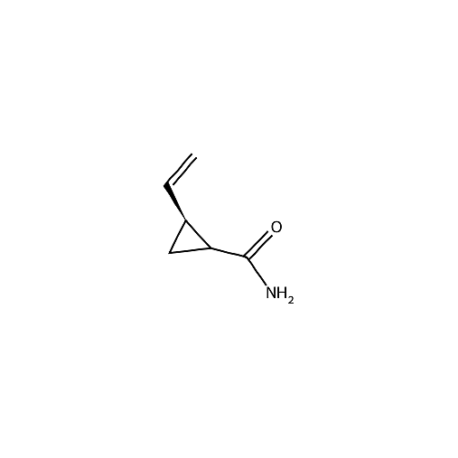 C=C[C@@H]1CC1C(N)=O